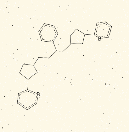 b1ccccc1C1CCC(CCC(CC2CCC(c3bcccc3)C2)c2ccccc2)C1